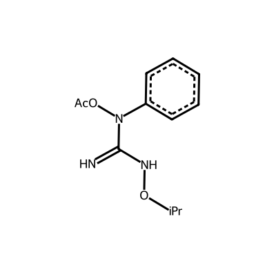 CC(=O)ON(C(=N)NOC(C)C)c1ccccc1